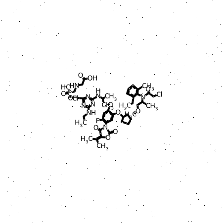 CC(C)=C1OC(=O)N(c2cc(OC3CCCC3)c(Cl)cc2F)C1=O.CCNc1nc(Cl)nc(NC(C)C)n1.CCc1cccc(C)c1N(C(=O)CCl)C(C)COC.O=C(O)CNCP(=O)(O)O